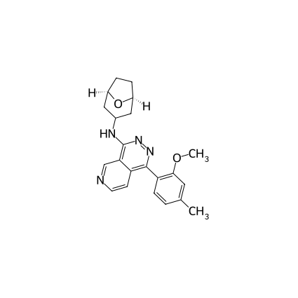 COc1cc(C)ccc1-c1nnc(NC2C[C@H]3CC[C@@H](C2)O3)c2cnccc12